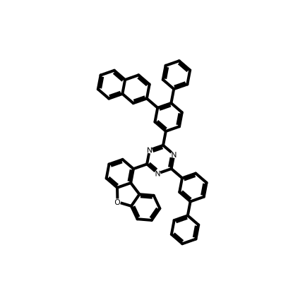 c1ccc(-c2cccc(-c3nc(-c4ccc(-c5ccccc5)c(-c5ccc6ccccc6c5)c4)nc(-c4cccc5oc6ccccc6c45)n3)c2)cc1